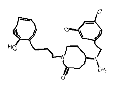 CN(Cc1cc(Cl)cc(Cl)c1)C1CCN(CCCc2ccccc2O)C(=O)C1